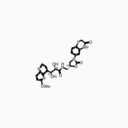 COc1ccc2nccc([C@H](O)[C@@H](O)C(=O)NC[C@@H]3CN(c4ccc5c(c4)NC(=O)CS5)C(=O)O3)c2n1